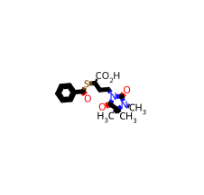 CN1C(=O)N(CC[C@@H](SC(=O)c2ccccc2)C(=O)O)C(=O)C1(C)C